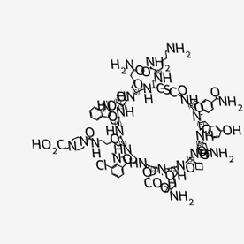 C[C@@H](O)[C@@H]1NC(=O)[C@H](Cc2cn(C)c3ccccc23)NC(=O)[C@H](CCCCNC(=O)N2CCN(CC(=O)O)CC2)NC(=O)C(Cc2cn(C)c3c(Cl)cccc23)NC(=O)[C@H](CCC(=O)O)N(C)C(=O)[C@H](CCCC(N)=O)NC(=O)[C@H](C2CCC2)NC(=O)[C@H](CC(N)=O)NC(=O)[C@H](Cc2cccc(O)c2)N(C)C(=O)[C@@H](Cc2cccc(C(N)=O)c2)NC(=O)CSCC(CN[C@H](CCCCN)C(N)=O)NC(=O)[C@H](CCCC(N)=O)NC1=O